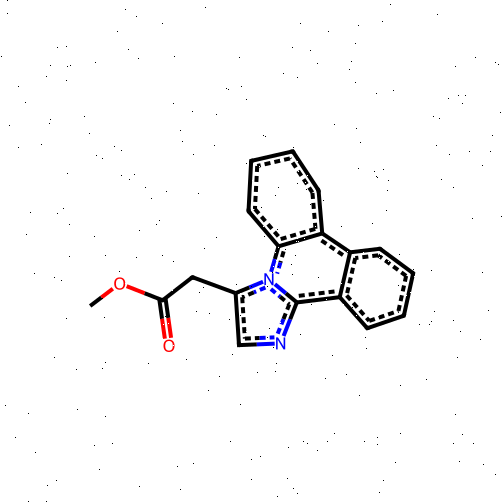 COC(=O)Cc1cnc2c3ccccc3c3ccccc3n12